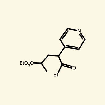 CCOC(=O)C(C)CC(C(=O)CC)c1ccncc1